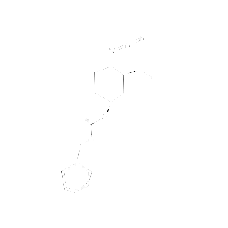 CO[C@H]1C[C@@H](NC(=O)OCc2ccccc2)CC[C@@H]1N=[N+]=[N-]